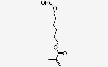 C=C(C)C(=O)OCCCCCCOC=O